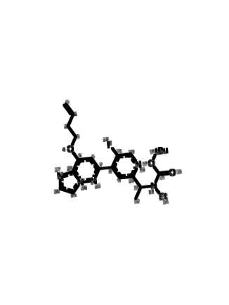 C=CCCOc1cc(-c2cc(C(C)N(CC)C(=O)OC(C)(C)C)ncc2F)nn2ccnc12